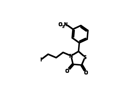 O=C1SC(c2cccc([N+](=O)[O-])c2)N(CCCI)C1=O